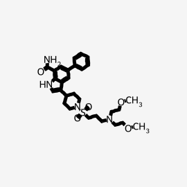 COCCN(CCCS(=O)(=O)N1CCC(c2c[nH]c3c(C(N)=O)cc(-c4ccccc4)cc23)CC1)CCOC